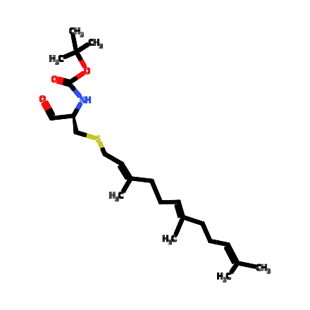 CC(C)=CCC/C(C)=C/CC/C(C)=C/CSC[C@@H](C=O)NC(=O)OC(C)(C)C